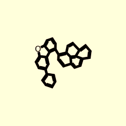 c1ccc(-c2ccc3oc4cccc(-c5ccc6ccc7cccc8ccc5c6c78)c4c3c2)cc1